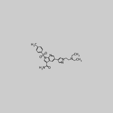 CCN(CC)CCn1cc(-c2cnc3c(c2)c(C(N)=O)cn3S(=O)(=O)c2ccc(C)cc2)cn1